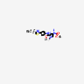 CCOC(=O)c1csc(-c2ccc(NC(=O)c3cc(NC(=O)OC(C)(C)C)cn3C)cc2)n1